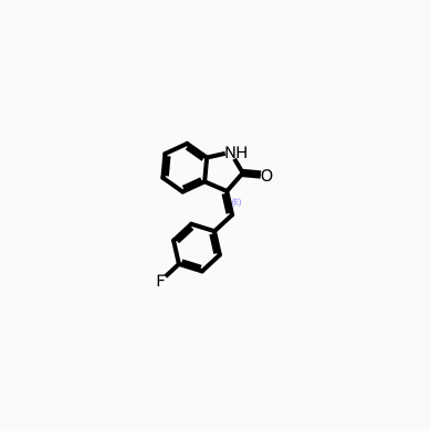 O=C1Nc2ccccc2/C1=C\c1ccc(F)cc1